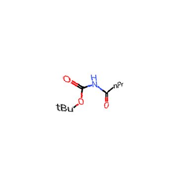 CCCC(=O)NC(=O)OC(C)(C)C